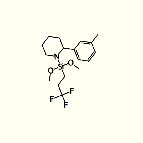 CO[Si](CCC(F)(F)F)(OC)N1CCCCC1c1cccc(C)c1